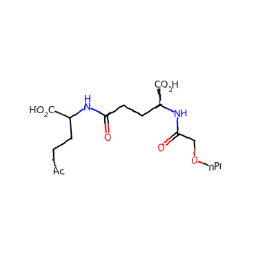 CCCOCC(=O)N[C@@H](CCC(=O)NC(CCC(C)=O)C(=O)O)C(=O)O